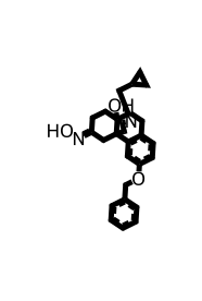 O/N=C1\CCC2(O)C3Cc4ccc(OCc5ccccc5)cc4C2(CCN3CC2CC2)C1